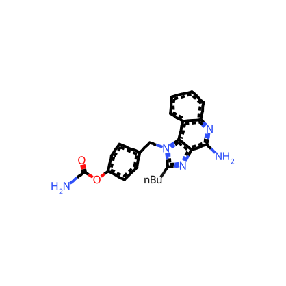 CCCCc1nc2c(N)nc3ccccc3c2n1Cc1ccc(OC(N)=O)cc1